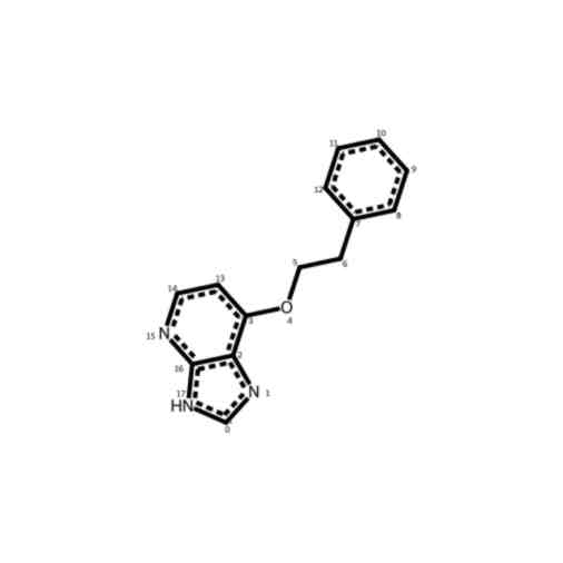 [c]1nc2c(OCCc3ccccc3)ccnc2[nH]1